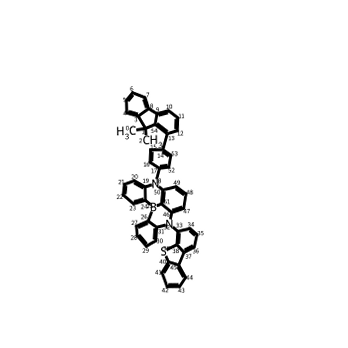 CC1(C)c2ccccc2-c2cccc(-c3ccc(N4c5ccccc5B5c6ccccc6N(c6cccc7c6sc6ccccc67)c6cccc4c65)cc3)c21